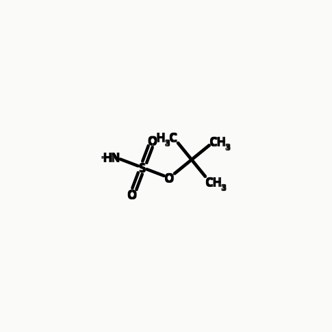 CC(C)(C)OS([NH])(=O)=O